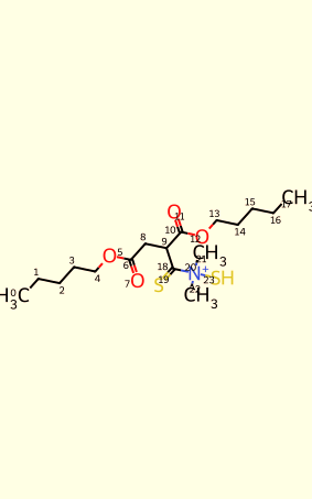 CCCCCOC(=O)CC(C(=O)OCCCCC)C(=S)[N+](C)(C)S